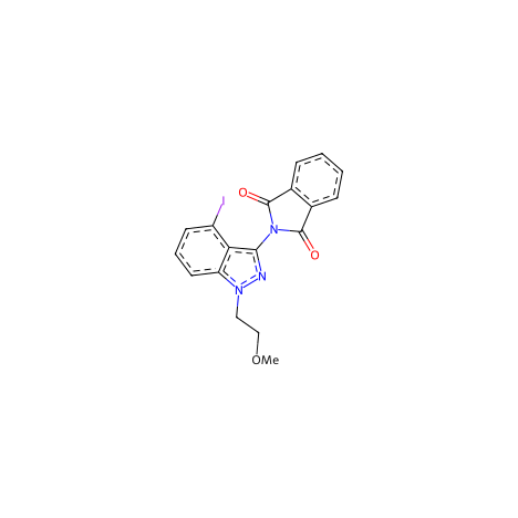 COCCn1nc(N2C(=O)c3ccccc3C2=O)c2c(I)cccc21